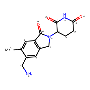 COc1cc2c(cc1CN)CN(C1CCC(=O)NC1=O)C2=O